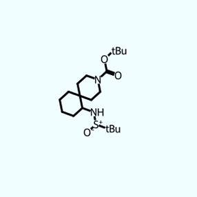 CC(C)(C)OC(=O)N1CCC2(CCCCC2N[S+]([O-])C(C)(C)C)CC1